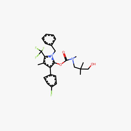 Cc1c(-c2ccc(F)cc2)c(OC(=O)N(C)CC(C)(C)CO)n(Cc2ccccc2)c1C(F)(F)F